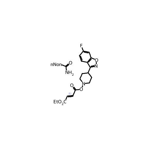 CCCCCCCCCC(N)=O.CCOC(=O)/C=C/C(=O)ON1CCC(c2noc3cc(F)ccc23)CC1